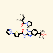 CC(C)(C)/C=C(\C#N)C(=O)N1CCC[C@@H]1Cn1c(NC(=O)c2ccc(-n3cccn3)s2)nc2cc(C(C)(C)O)ccc21